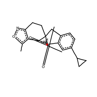 Cc1onc2c1CC1(CC2)Cc2ccc(C3CC3)cc2C12NC(=O)NC2=O